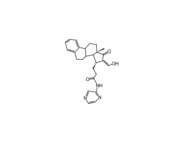 C[C@]12CCC3c4ccccc4CCC3C1[C@H](CCC(=O)Nc1cnccn1)/C(=C/O)C2=O